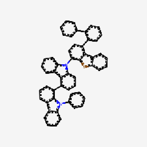 c1ccc(-c2ccccc2-c2ccc(-n3c4ccccc4c4c(-c5cccc6c7ccccc7n(-c7ccccc7)c56)cccc43)c3sc4ccccc4c23)cc1